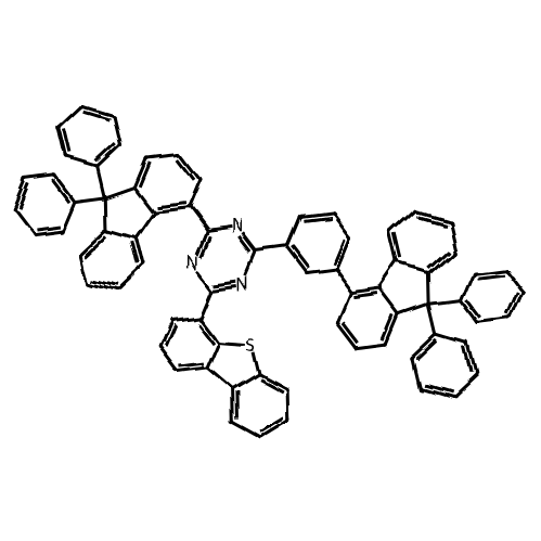 c1ccc(C2(c3ccccc3)c3ccccc3-c3c(-c4cccc(-c5nc(-c6cccc7c6-c6ccccc6C7(c6ccccc6)c6ccccc6)nc(-c6cccc7c6sc6ccccc67)n5)c4)cccc32)cc1